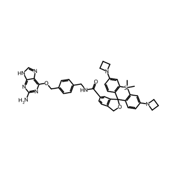 C[Si]1(C)c2cc(N3CCC3)ccc2C2(OCc3ccc(C(=O)NCc4ccc(COc5nc(N)nc6[nH]cnc56)cc4)cc32)c2ccc(N3CCC3)cc21